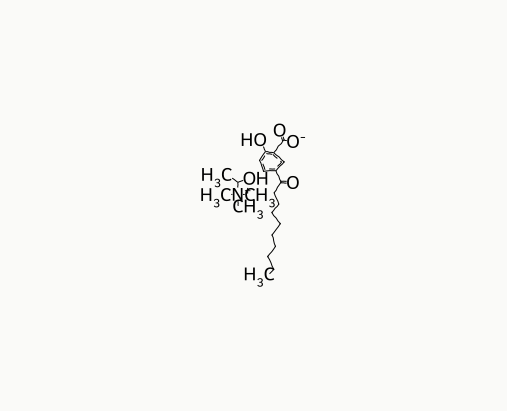 CC(O)[N+](C)(C)C.CCCCCCCCCC(=O)c1ccc(O)c(C(=O)[O-])c1